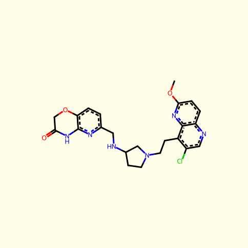 COc1ccc2ncc(Cl)c(CCN3CCC(NCc4ccc5c(n4)NC(=O)CO5)C3)c2n1